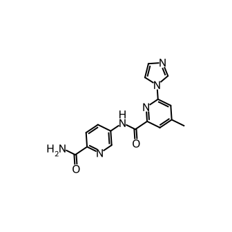 Cc1cc(C(=O)Nc2ccc(C(N)=O)nc2)nc(-n2ccnc2)c1